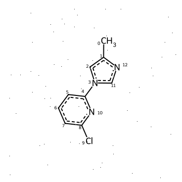 Cc1cn(-c2cccc(Cl)n2)cn1